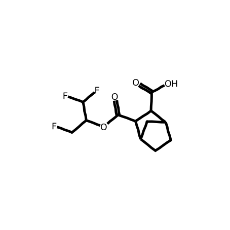 O=C(O)C1C2CCC(C2)C1C(=O)OC(CF)C(F)F